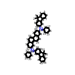 CC1(C)c2ccccc2-c2cc(N(c3ccccc3)c3ccc4c(ccc5c6cc(N(c7ccccc7)c7ccc8c(c7)-c7ccccc7C8(C)C)ccc6ccc45)c3)ccc21